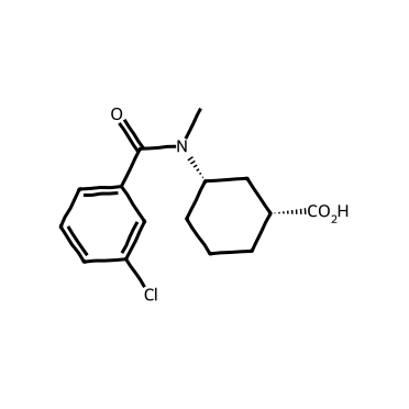 CN(C(=O)c1cccc(Cl)c1)[C@H]1CCC[C@@H](C(=O)O)C1